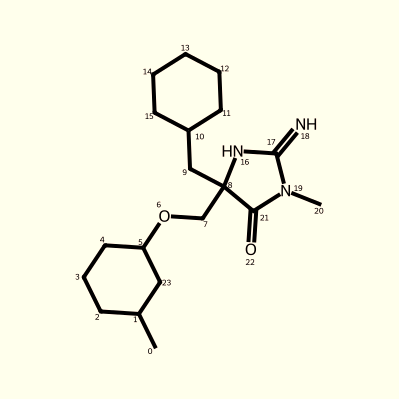 CC1CCCC(OCC2(CC3CCCCC3)NC(=N)N(C)C2=O)C1